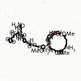 CO[C@H]1C[C@@H]2CC[C@@H](C)[C@@](O)(O2)C(=O)C(=O)N2CCCC[C@H]2C(=O)O[C@H]([C@@H](C)C[C@H]2CC[C@@H](OCCOCNC(=O)OCc3ccc(NC(=O)[C@H](CCCNC(N)=O)NC(=O)[C@@H](NC(=O)CCN4C(=O)C=CC4=O)C(C)C)cc3)[C@H](OC)C2)CC(=O)[C@H](N)/C=C(\C)[C@@H](O)[C@@H](OC)C(=O)[C@H](C)C[C@H](N)/C=C/C=C/C=C/1C